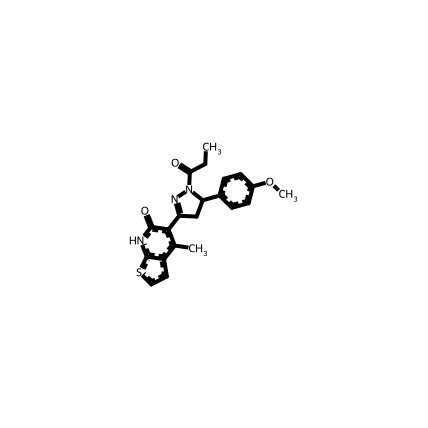 CCC(=O)N1N=C(c2c(C)c3ccsc3[nH]c2=O)CC1c1ccc(OC)cc1